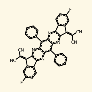 N#CC(C#N)=C1c2cc(F)ccc2-c2nc3c(-c4ccccc4)c4nc5c(nc4c(-c4ccccc4)c3nc21)-c1ccc(F)cc1C5=C(C#N)C#N